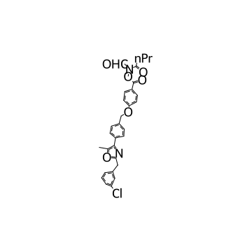 CCCC(=O)N(C=O)OC(=O)c1ccc(OCc2ccc(-c3nc(Cc4cccc(Cl)c4)oc3C)cc2)cc1